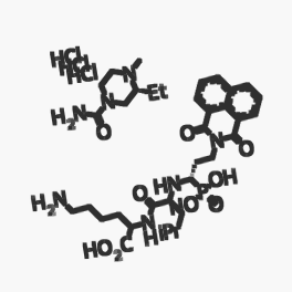 CC(C)CC(N[C@H](CCN1C(=O)c2cccc3cccc(c23)C1=O)P(=O)(O)O)C(=O)NC(CCCCN)C(=O)O.CC[C@H]1CN(C(N)=O)CCN1C.Cl.Cl.Cl